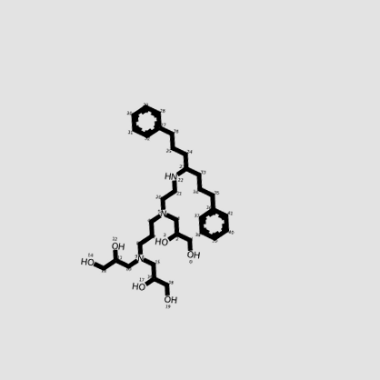 OCC(O)CN(CCCN(CC(O)CO)CC(O)CO)CCNC(CCCc1ccccc1)CCCc1ccccc1